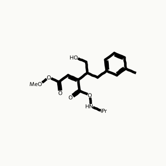 COOC(=O)/C=C(\C(=O)ONC(C)C)C(CO)Cc1cccc(C)c1